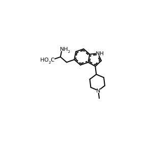 CN1CCC(c2c[nH]c3ccc(CC(N)C(=O)O)cc23)CC1